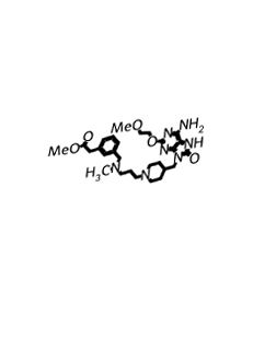 COCCOc1nc(N)c2[nH]c(=O)n(CC3CCN(CCCN(C)Cc4cccc(CC(=O)OC)c4)CC3)c2n1